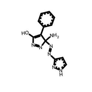 NC1(N=Nc2cc[nH]n2)N=NC(O)=C1c1ccccc1